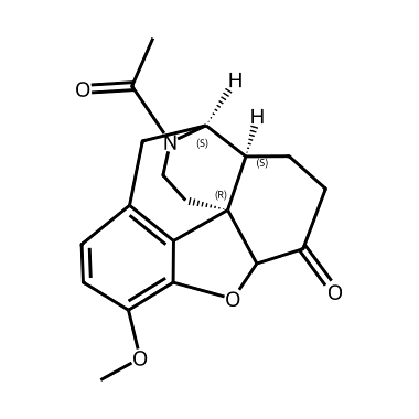 COc1ccc2c3c1OC1C(=O)CC[C@@H]4[C@H](C2)N(C(C)=O)CC[C@@]314